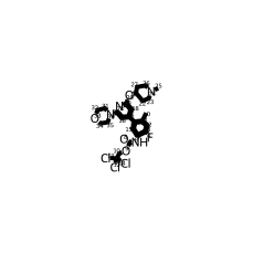 Cc1cc(F)c(NC(=O)OCC(Cl)(Cl)Cl)cc1-c1cc(OC2CCN(C)CC2)nc(N2CCOCC2)c1